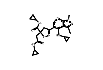 Cc1nn(C)c2ncc(C3=NOC(CC(=O)NC4CC4)(C(=O)NC4CC4)C3)c(NC3CC3)c12